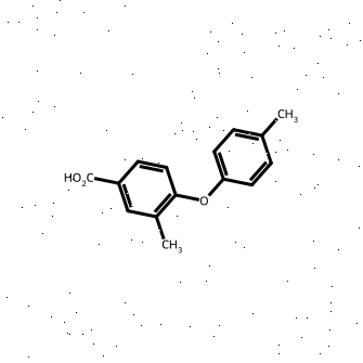 Cc1ccc(Oc2ccc(C(=O)O)cc2C)cc1